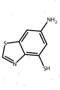 Nc1cc(S)c2ncsc2c1